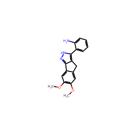 COc1cc2c(cc1OC)-c1n[nH]c(-c3ccccc3N)c1C2